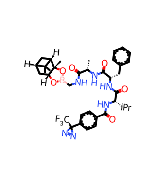 CC(C)[C@H](NC(=O)c1ccc(C2(C(F)(F)F)N=N2)cc1)C(=O)N[C@@H](Cc1ccccc1)C(=O)N[C@@H](C)C(=O)NCB1O[C@@H]2C[C@@H]3C[C@@H](C3(C)C)[C@]2(C)O1